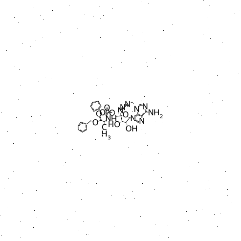 C[C@@H](NP(=O)(OCC1(N=[N+]=[N-])O[C@@H](n2cnc3c(N)ncnc32)[C@H](O)[C@@H]1O)Oc1ccccc1)C(=O)OCc1ccccc1